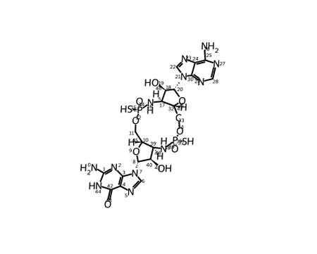 Nc1nc2c(ncn2[C@@H]2O[C@@H]3CO[P@@](=O)(S)N[C@H]4[C@@H](O)[C@H](n5cnc6c(N)ncnc65)O[C@@H]4CO[P@](=O)(S)N[C@H]3[C@H]2O)c(=O)[nH]1